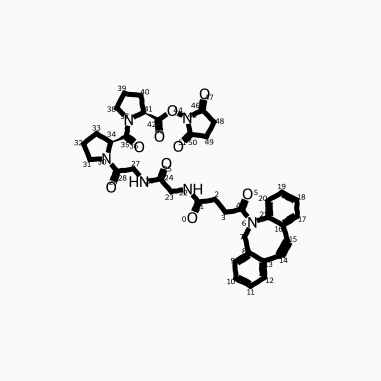 O=C(CCC(=O)N1Cc2ccccc2C#Cc2ccccc21)NCC(=O)NCC(=O)N1CCC[C@H]1C(=O)N1CCC[C@H]1C(=O)ON1C(=O)CCC1=O